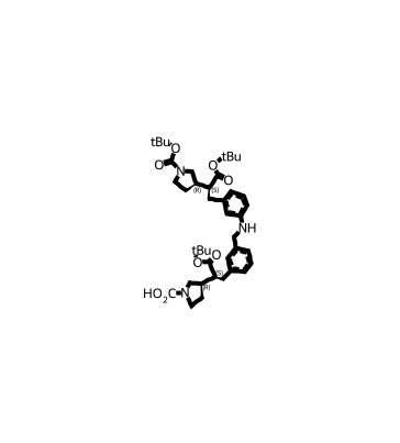 CC(C)(C)OC(=O)[C@@H](Cc1cccc(CNc2cccc(C[C@H](C(=O)OC(C)(C)C)[C@H]3CCN(C(=O)OC(C)(C)C)C3)c2)c1)[C@H]1CCN(C(=O)O)C1